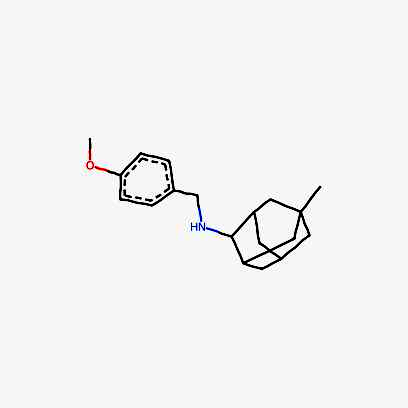 COc1ccc(CNC2C3CC4CC2CC(C)(C4)C3)cc1